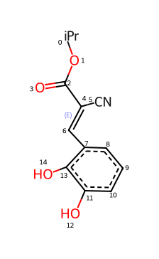 CC(C)OC(=O)/C(C#N)=C/c1cccc(O)c1O